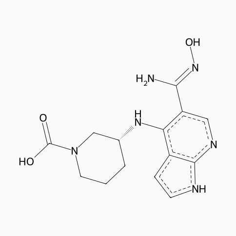 N/C(=N\O)c1cnc2[nH]ccc2c1N[C@@H]1CCCN(C(=O)O)C1